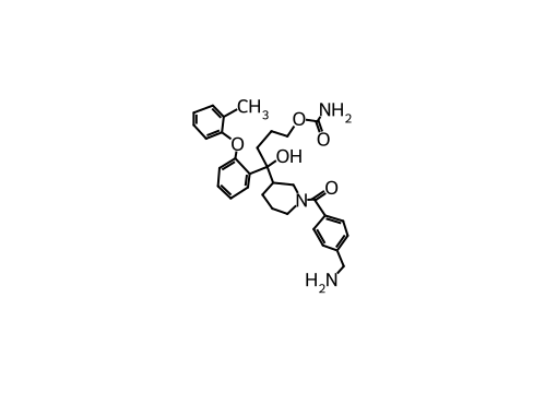 Cc1ccccc1Oc1ccccc1C(O)(CCCOC(N)=O)C1CCCN(C(=O)c2ccc(CN)cc2)C1